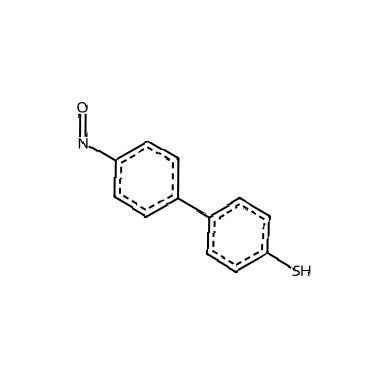 O=Nc1ccc(-c2ccc(S)cc2)cc1